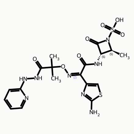 C[C@H]1[C@H](NC(=O)/C(=N\OC(C)(C)C(=O)NNc2ccccn2)c2csc(N)n2)C(=O)N1S(=O)(=O)O